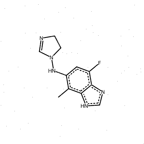 Cc1c(NN2C=NCC2)cc(F)c2nc[nH]c12